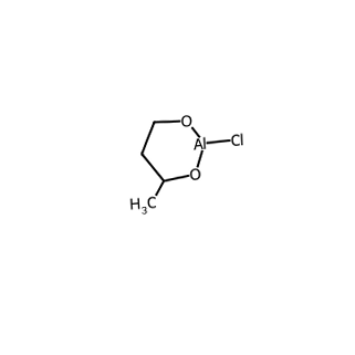 CC1CC[O][Al]([Cl])[O]1